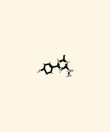 Cc1nc(NC(C)C)nc(C2=CCC(F)CC2)n1